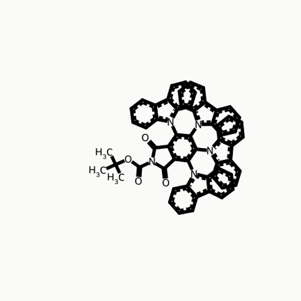 CC(C)(C)OC(=O)N1C(=O)c2c(c(-n3c4ccccc4c4ccccc43)c(-n3c4ccccc4c4ccccc43)c(-n3c4ccccc4c4ccccc43)c2-n2c3ccccc3c3ccccc32)C1=O